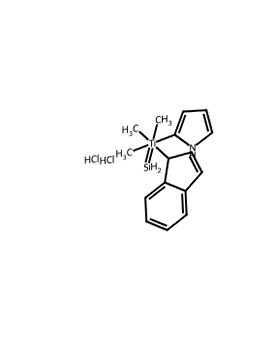 Cl.Cl.[CH3][Ti]([CH3])([CH3])(=[SiH2])([c]1ccc[nH]1)[CH]1C=Cc2ccccc21